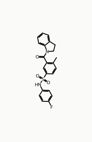 Cc1ccc(S(=O)(=O)Nc2ccc(F)cc2)cc1C(=O)N1CCc2ccccc21